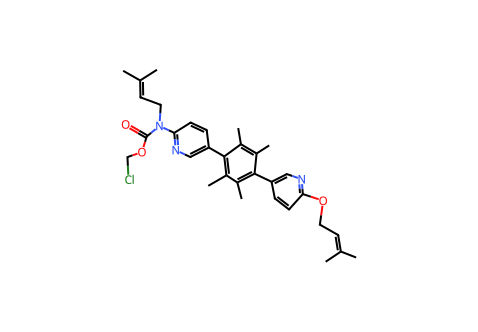 CC(C)=CCOc1ccc(-c2c(C)c(C)c(-c3ccc(N(CC=C(C)C)C(=O)OCCl)nc3)c(C)c2C)cn1